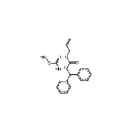 C=CCOC(=O)[C@@H](NC(=O)OC(C)(C)C)C(c1ccccc1)c1ccccc1